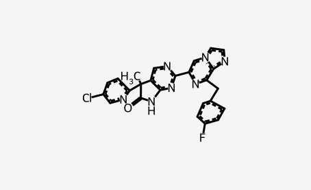 CC1(c2ccc(Cl)cn2)C(=O)Nc2nc(-c3cn4ccnc4c(Cc4ccc(F)cc4)n3)ncc21